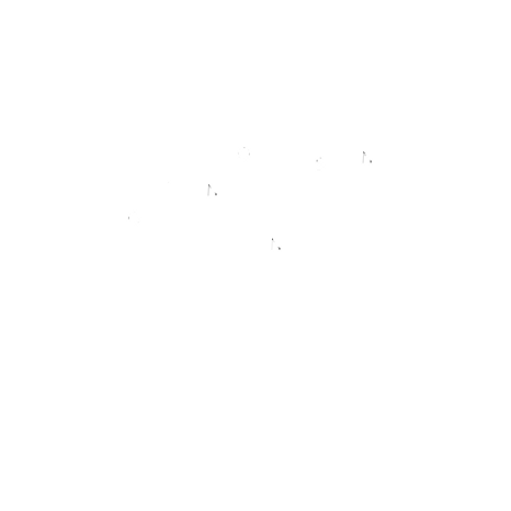 CC(=O)N(O)Cn1c2ccccc2c2cnsc21